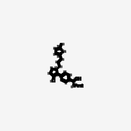 CCCCC[C@H](O)c1ccc(C2=C(Cl)CC[C@@H]2CCCc2ccc(C)s2)cc1